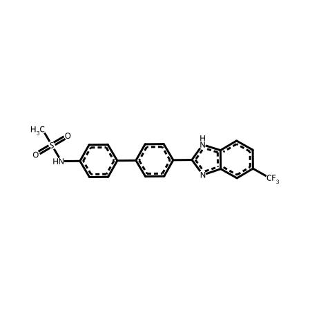 CS(=O)(=O)Nc1ccc(-c2ccc(-c3nc4cc(C(F)(F)F)ccc4[nH]3)cc2)cc1